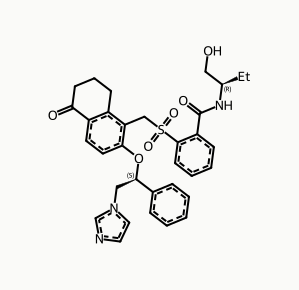 CC[C@H](CO)NC(=O)c1ccccc1S(=O)(=O)Cc1c(O[C@H](Cn2ccnc2)c2ccccc2)ccc2c1CCCC2=O